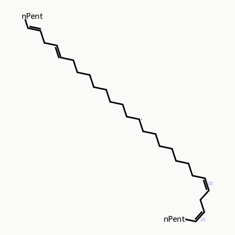 CCCCCC=CCC=CCCCCCCCC[CH]CCCCCCC/C=C\C/C=C\CCCCC